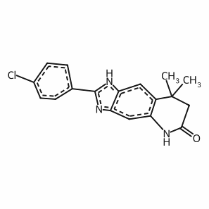 CC1(C)CC(=O)Nc2cc3nc(-c4ccc(Cl)cc4)[nH]c3cc21